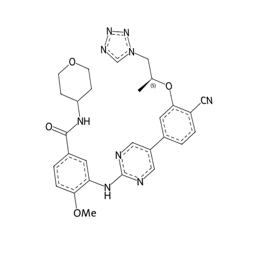 COc1ccc(C(=O)NC2CCOCC2)cc1Nc1ncc(-c2ccc(C#N)c(O[C@@H](C)Cn3cnnn3)c2)cn1